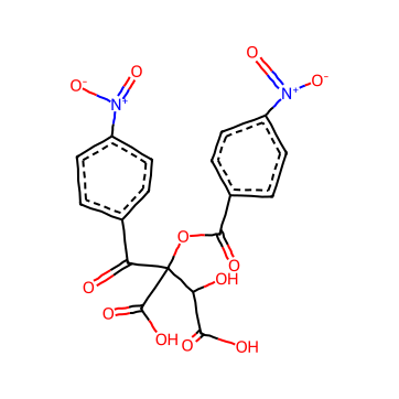 O=C(OC(C(=O)O)(C(=O)c1ccc([N+](=O)[O-])cc1)C(O)C(=O)O)c1ccc([N+](=O)[O-])cc1